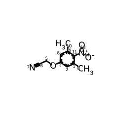 Cc1cc(OCC#N)cc(C)c1[N+](=O)[O-]